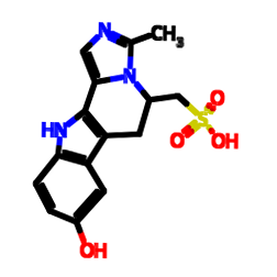 Cc1ncc2n1C(CS(=O)(=O)O)Cc1c-2[nH]c2ccc(O)cc12